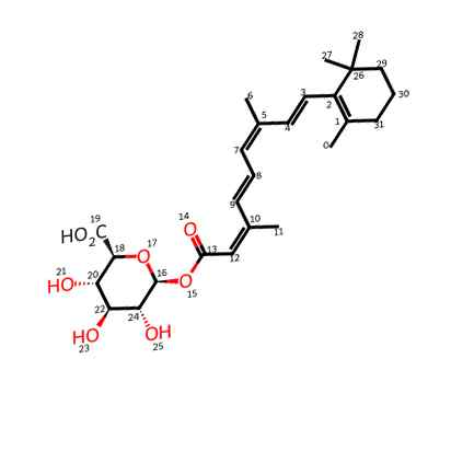 CC1=C(/C=C/C(C)=C\C=C\C(C)=C/C(=O)O[C@@H]2O[C@H](C(=O)O)[C@@H](O)[C@H](O)[C@H]2O)C(C)(C)CCC1